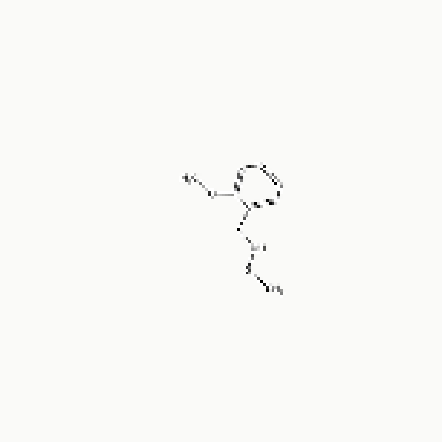 COc1ccccc1CNSC